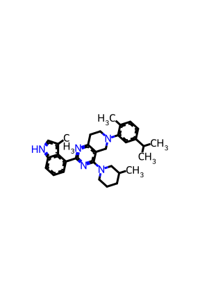 Cc1ccc(C(C)C)cc1N1CCc2nc(-c3cccc4[nH]cc(C)c34)nc(N3CCCC(C)C3)c2C1